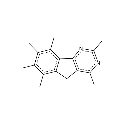 Cc1nc(C)c2c(n1)-c1c(C)c(C)c(C)c(C)c1C2